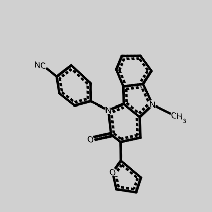 Cn1c2ccccc2c2c1cc(-c1ccco1)c(=O)n2-c1ccc(C#N)cc1